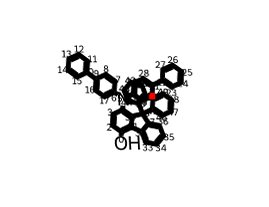 Oc1ccc(N(c2ccc(-c3ccccc3)cc2)c2ccc(-c3ccccc3)cc2)c2c1-c1ccccc1C2(c1ccccc1)c1ccccc1